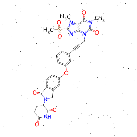 Cn1c(=O)c2c(nc(S(C)(=O)=O)n2C)n(CC#Cc2cccc(Oc3[c]c4c(cc3)C(=O)N(C3CCC(=O)NC3=O)C4)c2)c1=O